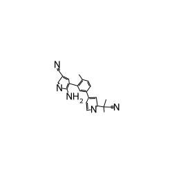 Cc1ccc(-c2ccnc(C(C)(C)C#N)c2)cc1-c1cc(C#N)cnc1N